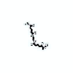 CCOC(C)C(=O)CCCC(=O)OCCOC(=O)CCCC(=O)C(C)(C)C